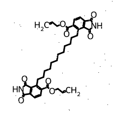 C=CCOC(=O)c1ccc2c(c1CCCCCCCCCCCCc1c(C(=O)OCC=C)ccc3c1C(=O)NC3=O)C(=O)NC2=O